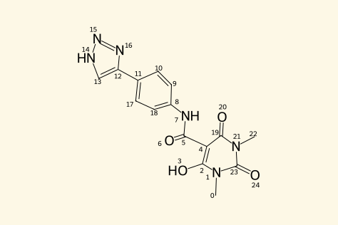 Cn1c(O)c(C(=O)Nc2ccc(-c3c[nH]nn3)cc2)c(=O)n(C)c1=O